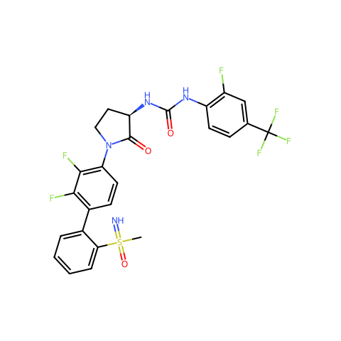 CS(=N)(=O)c1ccccc1-c1ccc(N2CC[C@@H](NC(=O)Nc3ccc(C(F)(F)F)cc3F)C2=O)c(F)c1F